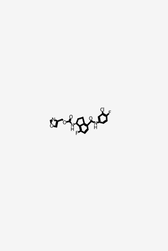 O=C(N[C@H]1CCc2c(C(=O)Nc3ccc(F)c(Cl)c3)ccc(F)c21)OCc1cocn1